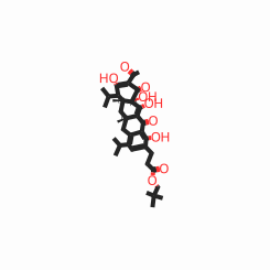 CC(=O)C1=C(O)C(C(C)C)[C@@]2(C)C[C@@]3(C)Cc4c(C(C)C)cc(CCC(=O)OCC(C)(C)C)c(O)c4C(=O)C3=C(O)[C@@]2(O)C1=O